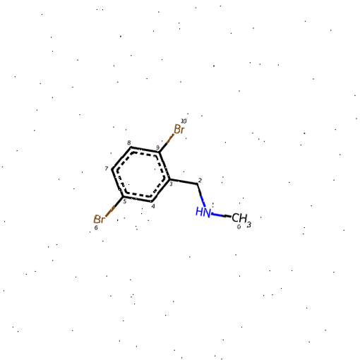 CNCc1cc(Br)ccc1Br